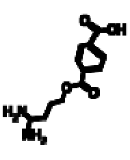 NC(N)CCCOC(=O)c1ccc(C(=O)O)cc1